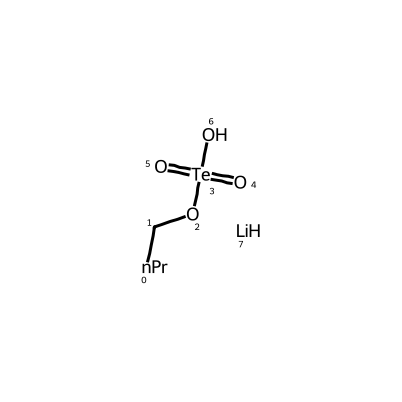 CCCCO[Te](=O)(=O)O.[LiH]